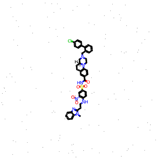 Cn1c(CCNc2ccc(S(=O)(=O)NC(=O)c3ccc4c(c3)CC[C@H]3CN(Cc5ccccc5-c5ccc(Cl)cc5)CCN43)cc2[N+](=O)[O-])nc2ccccc21